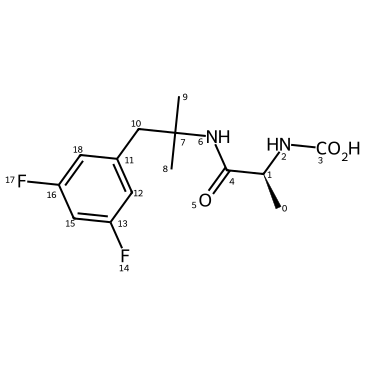 C[C@H](NC(=O)O)C(=O)NC(C)(C)Cc1cc(F)cc(F)c1